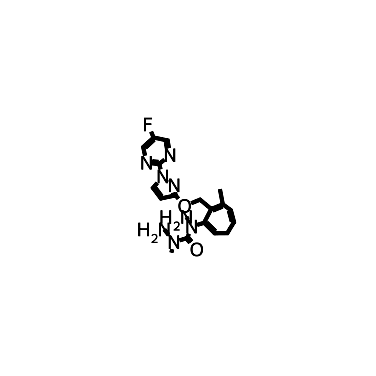 CC1=C(COc2ccn(-c3ncc(F)cn3)n2)C(N(N)C(=O)N(C)N)=CCC=C1